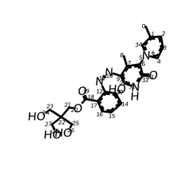 Cc1ccc[n+](-c2c(C)c(/N=N\c3ccccc3C(=O)OCC(CO)(CO)CO)c(O)[nH]c2=O)c1